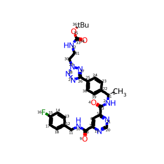 C[C@H](NC(=O)c1cc(C(=O)NCc2ccc(F)cc2)ncn1)c1ccc(-c2nnn(CCNC(=O)OC(C)(C)C)n2)cc1